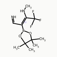 CN/C(=C(\C=N)B1OC(C)(C)C(C)(C)O1)C(F)(F)F